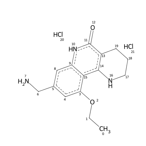 CCOc1cc(CN)cc2[nH]c(=O)c3c(c12)NCCC3.Cl.Cl